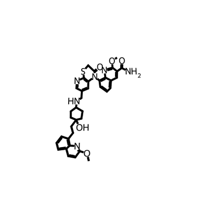 COc1ccc2cccc(CCC3(O)CCC(NCc4cnc5c(c4)N(c4cccc6cc(C(N)=O)c(OC)nc46)C(=O)CS5)CC3)c2n1